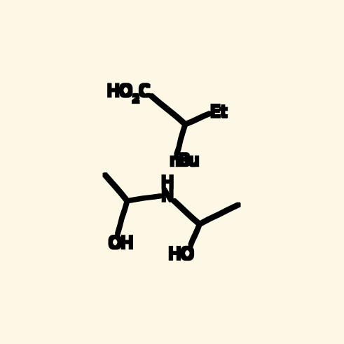 CC(O)NC(C)O.CCCCC(CC)C(=O)O